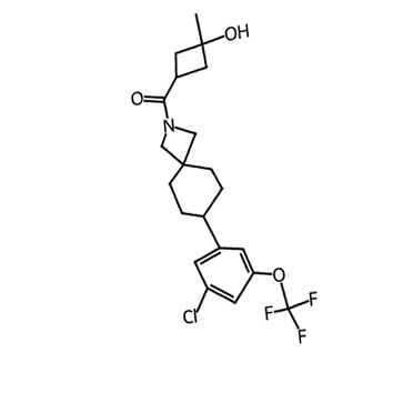 CC1(O)CC(C(=O)N2CC3(CCC(c4cc(Cl)cc(OC(F)(F)F)c4)CC3)C2)C1